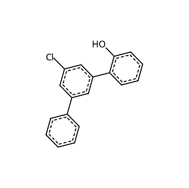 Oc1ccccc1-c1cc(Cl)cc(-c2ccccc2)c1